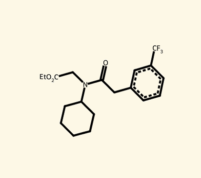 CCOC(=O)CN(C(=O)Cc1cccc(C(F)(F)F)c1)C1CCCCC1